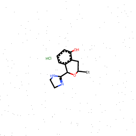 CCC1Cc2c(O)cccc2C(C2=NCCN2)O1.Cl